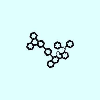 c1ccc(N(c2ccccc2)c2cccc3c2oc2c(-c4ccc(-c5ccc6c7ccccc7c7ccccc7c6c5)cc4)c4ccccc4cc23)cc1